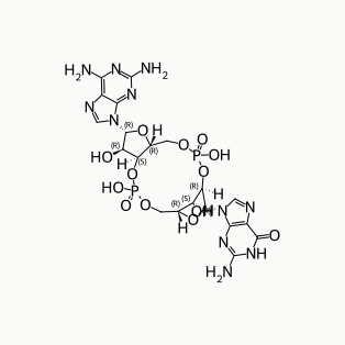 Nc1nc(N)c2ncn([C@@H]3O[C@@H]4COP(=O)(O)O[C@@H]5[C@@H](O)[C@@H](COP(=O)(O)O[C@H]4[C@H]3O)O[C@H]5n3cnc4c(=O)[nH]c(N)nc43)c2n1